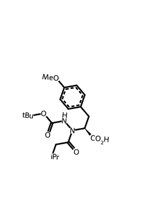 COc1ccc(C[C@@H](C(=O)O)N(NC(=O)OC(C)(C)C)C(=O)CC(C)C)cc1